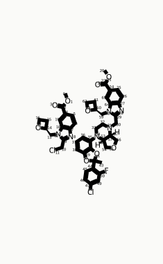 COC(=O)c1ccc2nc(CCl)n(C[C@@H]3CCO3)c2c1.COC(=O)c1ccc2nc(CN3CCN(c4cccc5c4OC(C)(c4ccc(Cl)cc4F)O5)[C@H]4COC[C@H]43)n(C[C@@H]3CCO3)c2c1